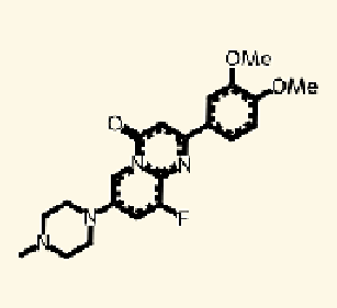 COc1ccc(-c2cc(=O)n3cc(N4CCN(C)CC4)cc(F)c3n2)cc1OC